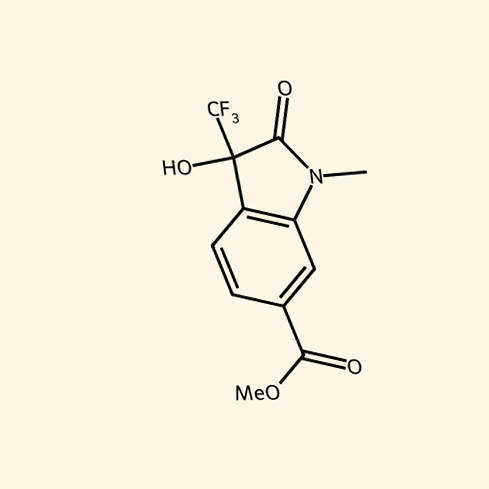 COC(=O)c1ccc2c(c1)N(C)C(=O)C2(O)C(F)(F)F